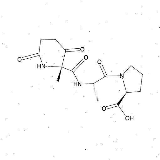 C[C@H](NC(=O)[C@]1(C)NC(=O)CCC1=O)C(=O)N1CCC[C@H]1C(=O)O